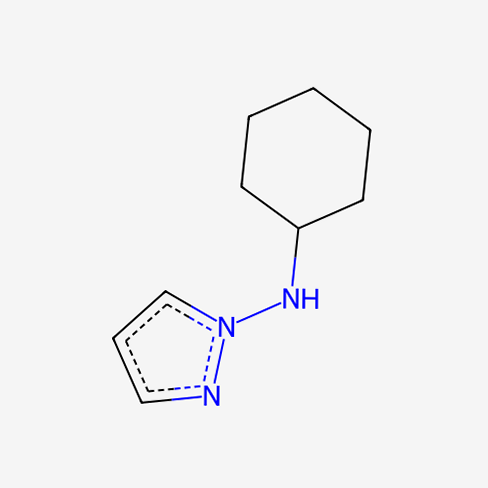 c1cnn(NC2CCCCC2)c1